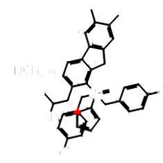 Cl.Cl.[CH2]=[Zr]([CH2]c1ccc(Cl)cc1)([CH2]c1ccc(Cl)cc1)([C]1=CC=CC1)[c]1c(CC(C)C(C)C)ccc2c1Cc1cc(C)c(C)cc1-2